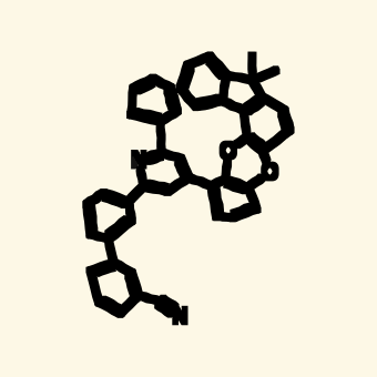 CC1(C)c2ccccc2-c2c1ccc1c2Oc2c(cccc2-c2cc(-c3ccccc3)nc(-c3cccc(-c4cccc(C#N)c4)c3)c2)O1